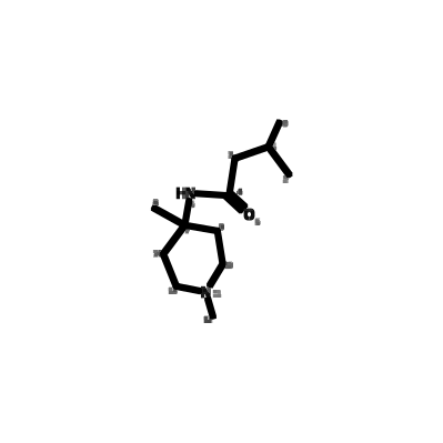 CC(C)CC(=O)NC1(C)CCN(C)CC1